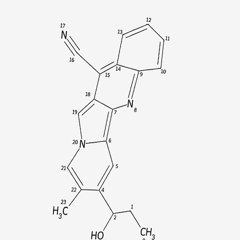 CCC(O)c1cc2c3nc4ccccc4c(C#N)c3cn2cc1C